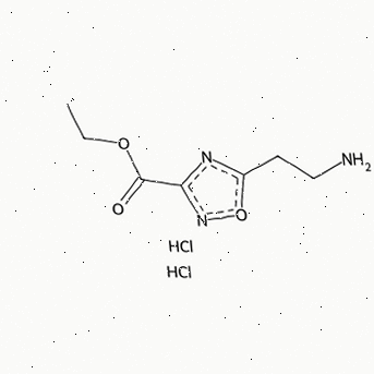 CCOC(=O)c1noc(CCN)n1.Cl.Cl